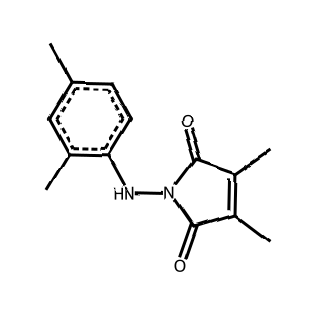 CC1=C(C)C(=O)N(Nc2ccc(C)cc2C)C1=O